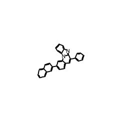 c1ccc(-c2cc3ccc(-c4ccc5ccccc5c4)cc3n3c2nc2ccccc23)cc1